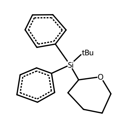 CC(C)(C)[Si](c1ccccc1)(c1ccccc1)C1CCCCO1